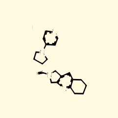 O=C([C@@H]1CCN(c2ccnc(C(F)(F)F)c2)C1)N1Cc2cc3c(nc2C1)CCCC3